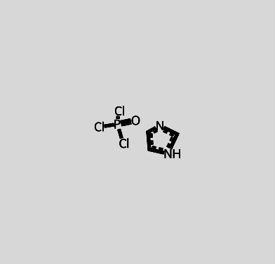 O=P(Cl)(Cl)Cl.c1c[nH]cn1